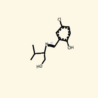 CC(C)C(CO)/N=C/c1cc(Cl)ccc1O